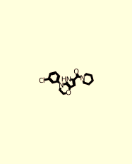 O=C(c1cc2c([nH]1)N(c1cccc(Cl)c1)CCO2)N1CCCCC1